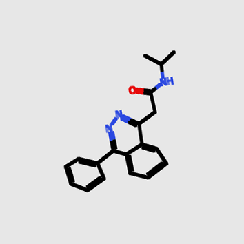 CC(C)NC(=O)Cc1nnc(-c2ccccc2)c2ccccc12